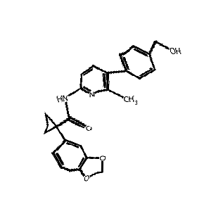 Cc1nc(NC(=O)C2(c3ccc4c(c3)OCO4)CC2)ccc1-c1ccc(CO)cc1